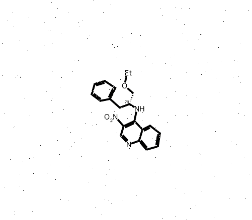 CCOC[C@@H](Cc1ccccc1)Nc1c([N+](=O)[O-])cnc2ccccc12